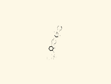 CC(C)(C)[Si](C)(C)OCc1cccc(N2CCN(c3cnc(N4CCOCC4)nc3)CC2)c1F